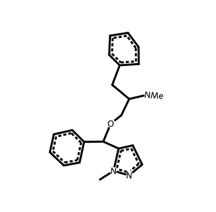 CNC(COC(c1ccccc1)c1ccnn1C)Cc1ccccc1